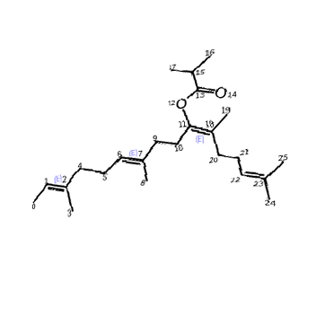 C/C=C(\C)CC/C=C(\C)CC/C(OC(=O)C(C)C)=C(/C)CCC=C(C)C